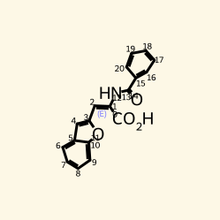 O=C(O)/C(=C\c1cc2ccccc2o1)NC(=O)c1ccccc1